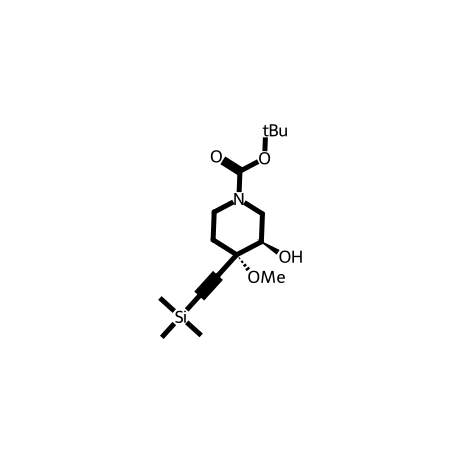 CO[C@]1(C#C[Si](C)(C)C)CCN(C(=O)OC(C)(C)C)C[C@H]1O